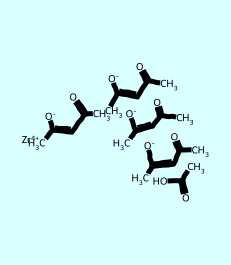 CC(=O)/C=C(/C)[O-].CC(=O)/C=C(/C)[O-].CC(=O)/C=C(/C)[O-].CC(=O)/C=C(/C)[O-].CC(=O)O.[Zr+4]